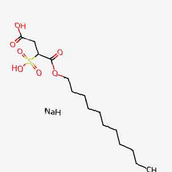 CCCCCCCCCCCOC(=O)C(CC(=O)O)S(=O)(=O)O.[NaH]